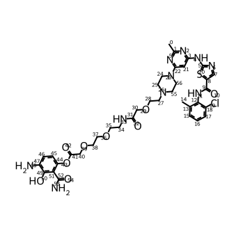 Cc1nc(Nc2ncc(C(=O)Nc3c(C)cccc3Cl)s2)cc(N2CCN(CCOCC(=O)NCCOCCOCC(=O)Oc3ccc(N)c(O)c3C(N)=O)CC2)n1